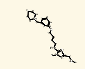 COCc1nc(NCCCCOc2cccc(CN3CCCCC3)c2)n(C)n1